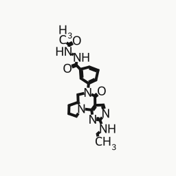 CCNc1ncc2c(n1)N1CCCC1CN(c1cccc(C(=O)NNC(C)=O)c1)C2=O